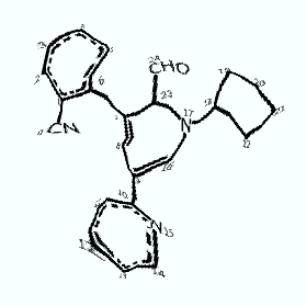 N#Cc1ccccc1C1=CC(c2ccccn2)=CN(C2CCCC2)C1C=O